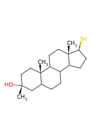 C[C@@]1(O)CC[C@@]2(C)C(CCC3C2CC[C@@]2(C)C3CC[C@@H]2S)C1